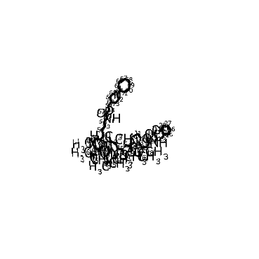 CC[C@H](C)[C@@H]([C@@H](CC(=O)N1CCC[C@H]1[C@H](OC)[C@@H](C)C(=O)N[C@@H](Cc1ccccc1)C(=O)O)OC)N(C)C(=O)[C@@H](NC(=O)[C@H](C(C)C)N(C)CCCCCCNC(=O)OCC1CCN(C2=C/C=C\C=C/C=C\2)CC1)C(C)C